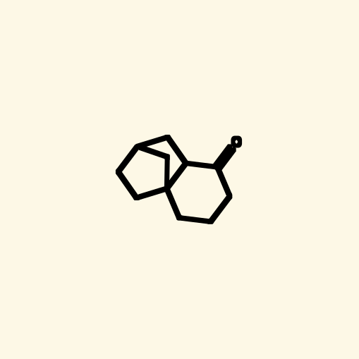 O=C1CCCC23CCC(CC12)C3